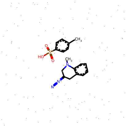 CN1CC(=[N+]=[N-])Cc2ccccc21.Cc1ccc(S(=O)(=O)O)cc1